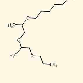 CCCCCCOC(C)COC(C)COCCC